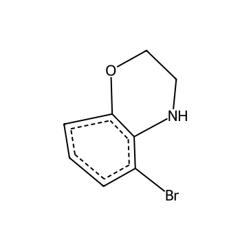 Brc1cccc2c1NCCO2